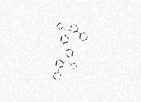 c1ccc(-c2cccc(N(c3ccc4c(c3)Oc3ccc(N(c5cccc(-c6ccccc6)c5)c5cccs5)cc3O4)c3cccs3)c2)cc1